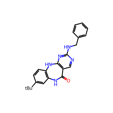 CC(C)(C)c1ccc2c(c1)NC(=O)c1cnc(NCc3ccccc3)nc1N2